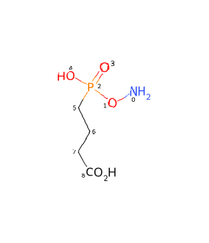 NOP(=O)(O)CCCC(=O)O